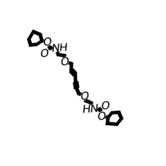 O=C(NCCOCC#CC#CCOCCNC(=O)OC1CCCCC1)OC1CCCCC1